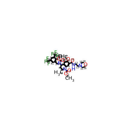 CCOC(=O)N1c2cc(C(=O)NCCN3CCOCC3)c(OC)cc2C(N(Cc2cc(C(F)(F)F)cc(C(F)(F)F)c2)C(=O)OC)CC1C